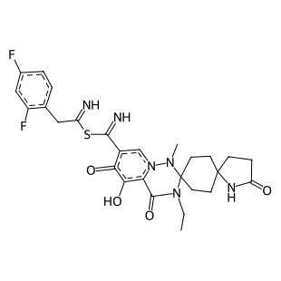 CCN1C(=O)c2c(O)c(=O)c(C(=N)SC(=N)Cc3ccc(F)cc3F)cn2N(C)C12CCC1(CCC(=O)N1)CC2